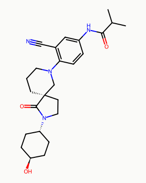 CC(C)C(=O)Nc1ccc(N2CCC[C@@]3(CCN([C@H]4CC[C@H](O)CC4)C3=O)C2)c(C#N)c1